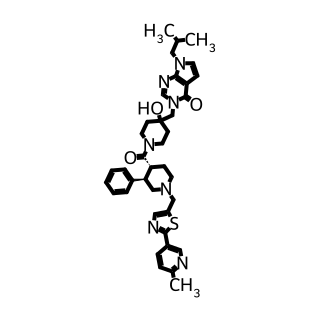 Cc1ccc(-c2ncc(CN3CC[C@@H](C(=O)N4CCC(O)(Cn5cnc6c(ccn6CC(C)C)c5=O)CC4)[C@H](c4ccccc4)C3)s2)cn1